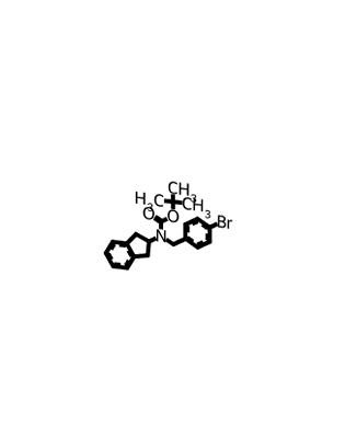 CC(C)(C)OC(=O)N(Cc1ccc(Br)cc1)C1Cc2ccccc2C1